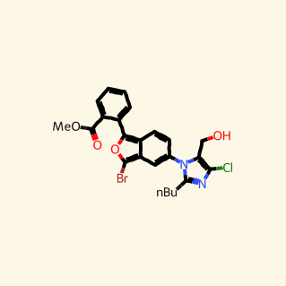 CCCCc1nc(Cl)c(CO)n1-c1ccc2c(-c3ccccc3C(=O)OC)oc(Br)c2c1